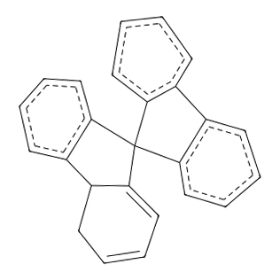 C1=CCC2C(=C1)C1(c3ccccc3-c3ccccc31)c1ccccc12